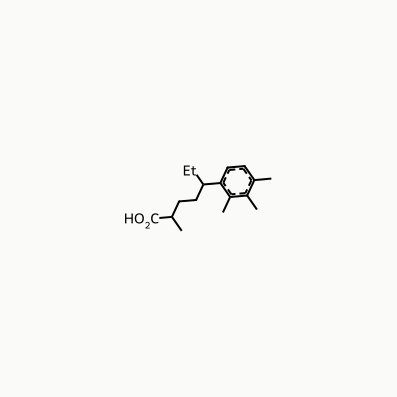 CCC(CCC(C)C(=O)O)c1ccc(C)c(C)c1C